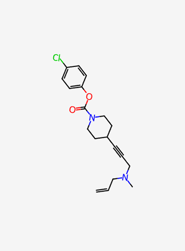 C=CCN(C)CC#CC1CCN(C(=O)Oc2ccc(Cl)cc2)CC1